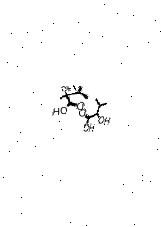 CC(C)C(C)(O)C(=O)O.CC(C)C(O)C(=O)O